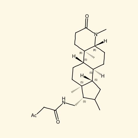 CC(=O)CC(=O)NC[C@H]1C(C)C[C@H]2[C@@H]3CC[C@H]4N(C)C(=O)CC[C@]4(C)[C@H]3CC[C@]12C